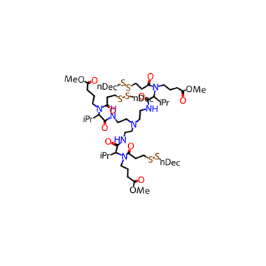 CCCCCCCCCCSSCCC(=O)N(CCCC(=O)OC)C(C(=O)NCCN(CCNC(=O)C(C(C)C)N(CCCC(=O)OC)C(=O)CCSSCCCCCCCCCC)CCNC(=O)C(C(C)C)N(CCCC(=O)OC)C(=O)CCSSCCCCCCCCCC)C(C)C